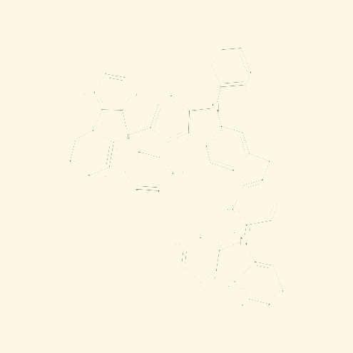 c1ccc(-n2c3ccc([Si]4(c5ccccc5)c5ccccc5-c5ccccc54)cc3c3cc4c(cc32)Cc2ccc(-n3c5ccccc5c5ccccc53)cc2-4)cc1